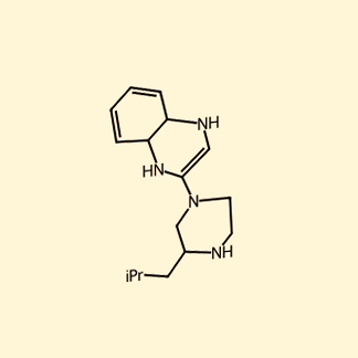 CC(C)CC1CN(C2=CNC3C=CC=CC3N2)CCN1